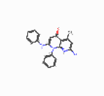 Cc1cc(N)nc2c1c(=O)cc(Nc1ccccc1)n2-c1ccccc1